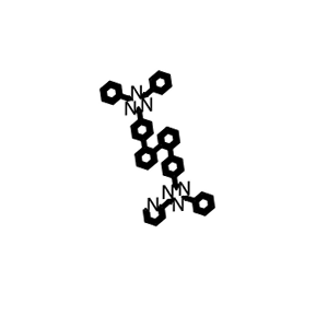 c1ccc(-c2nc(-c3ccccc3)nc(-c3ccc(-c4ccccc4-c4ccccc4-c4ccc(-c5nc(-c6ccccc6)nc(-c6ccccn6)n5)cc4)cc3)n2)cc1